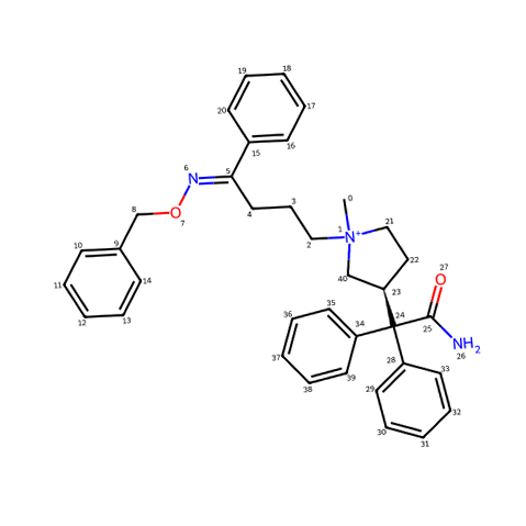 C[N+]1(CCC/C(=N\OCc2ccccc2)c2ccccc2)CC[C@@H](C(C(N)=O)(c2ccccc2)c2ccccc2)C1